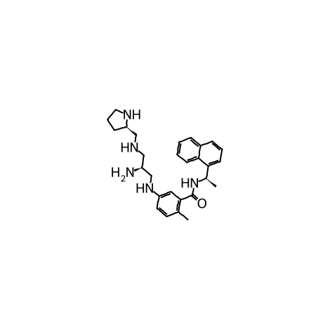 Cc1ccc(NC[C@@H](N)CNC[C@H]2CCCN2)cc1C(=O)N[C@H](C)c1cccc2ccccc12